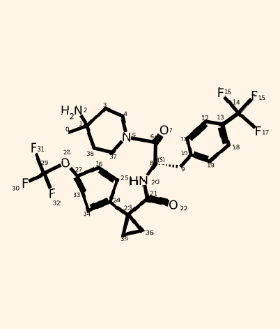 CC1(N)CCN(C(=O)[C@H](Cc2ccc(C(F)(F)F)cc2)NC(=O)C2(c3ccc(OC(F)(F)F)cc3)CC2)CC1